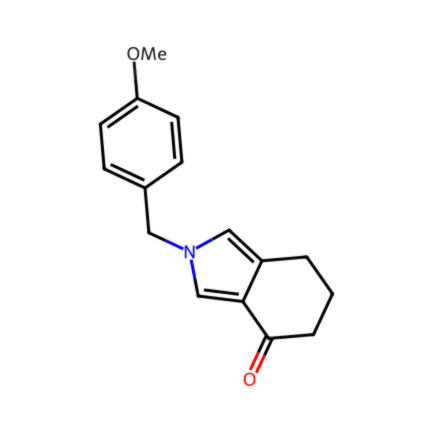 COc1ccc(Cn2cc3c(c2)C(=O)CCC3)cc1